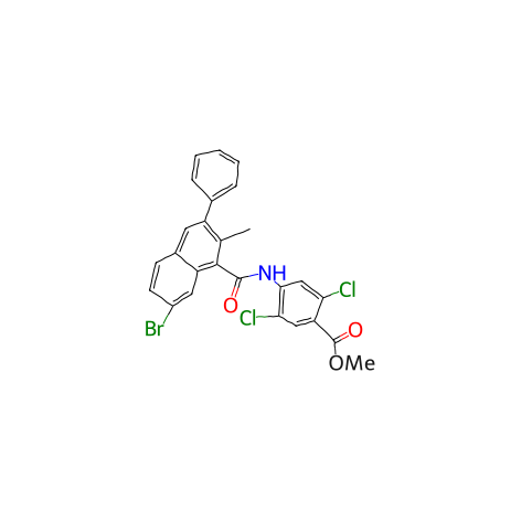 COC(=O)c1cc(Cl)c(NC(=O)c2c(C)c(-c3ccccc3)cc3ccc(Br)cc23)cc1Cl